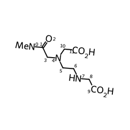 CNC(=O)CN(CCNCC(=O)O)CC(=O)O